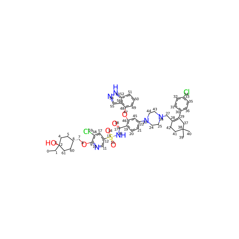 CC[C@]1(O)CC[C@H](COc2ncc(S(=O)(=O)NC(=O)c3ccc(N4CCN(CC5=C(c6ccc(Cl)cc6)CC(C)(C)CC5)CC4)cc3Oc3cccc4[nH]ncc34)cc2Cl)CC1